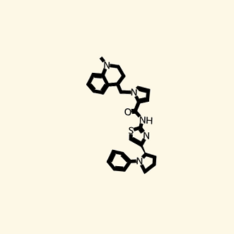 CN1CCC(Cn2cccc2C(=O)Nc2nc([C@H]3CCCN3c3ccccc3)cs2)c2ccccc21